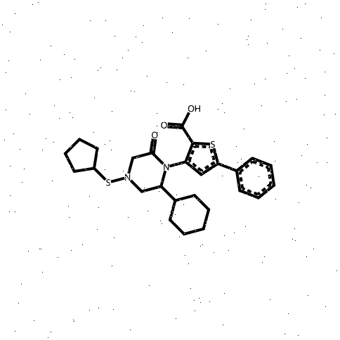 O=C(O)c1sc(-c2ccccc2)cc1N1C(=O)CN(SC2CCCC2)CC1C1CCCCC1